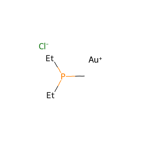 CCP(C)CC.[Au+].[Cl-]